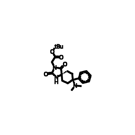 CN(C)[C@]1(c2ccccc2)CC[C@]2(CC1)NC(=O)N(CC(=O)OC(C)(C)C)C2=O